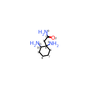 NC(=O)CC1(N)CCCCC1N